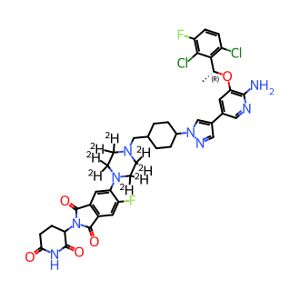 [2H]C1([2H])N(CC2CCC(n3cc(-c4cnc(N)c(O[C@H](C)c5c(Cl)ccc(F)c5Cl)c4)cn3)CC2)C([2H])([2H])C([2H])([2H])N(c2cc3c(cc2F)C(=O)N(C2CCC(=O)NC2=O)C3=O)C1([2H])[2H]